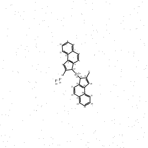 CC1=Cc2c(ccc3ccccc23)[CH]1[Zr+2][CH]1C(C)=Cc2c1ccc1ccccc21.[F-].[F-]